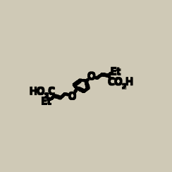 CCC(=CCOc1ccc(OCC=C(CC)C(=O)O)cc1)C(=O)O